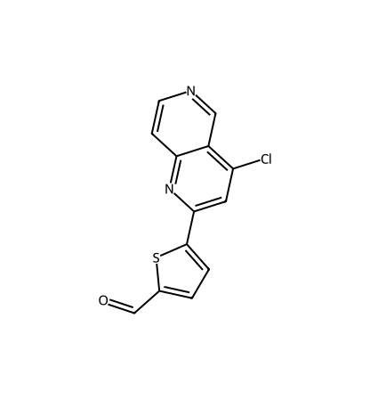 O=Cc1ccc(-c2cc(Cl)c3cnccc3n2)s1